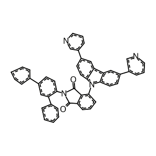 O=C1c2cccc(-n3c4ccc(-c5cccnc5)cc4c4cc(-c5cccnc5)ccc43)c2C(=O)N1c1ccc(-c2ccccc2)cc1-c1ccccc1